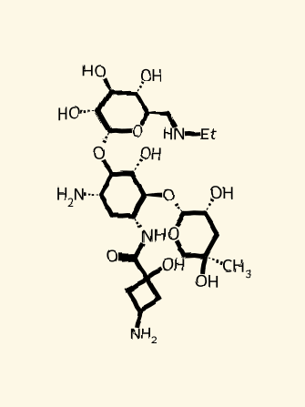 CCNC[C@H]1O[C@H](OC2[C@@H](N)C[C@@H](NC(=O)C3(O)CC(N)C3)[C@H](O[C@H]3OC[C@](C)(O)C[C@H]3O)[C@H]2O)[C@H](O)[C@@H](O)[C@@H]1O